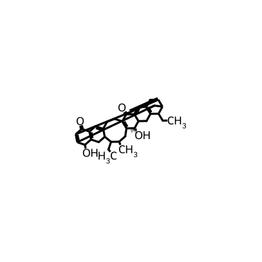 CCC1C2=C3C=C4C(=O)C5=C(CC(C)C(CC)C6CC7=C(C=C6CC5)C(=O)C5=C(CC1C(=C5)C3)C7O)[C@H](O)C4C2